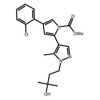 COC(=O)n1cc(-c2ccccc2Cl)cc1-c1cnn(CCC(C)(C)O)c1C